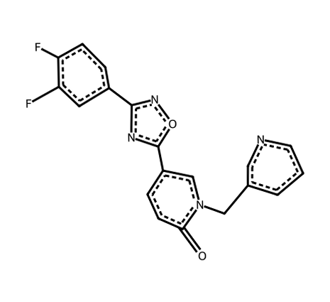 O=c1ccc(-c2nc(-c3ccc(F)c(F)c3)no2)cn1Cc1cccnc1